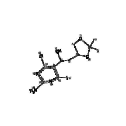 CC1(C)OCC(CC(O)c2c(Cl)nc(N)nc2I)O1